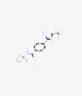 O=C(NC1(CO)CCC1)c1ccc(-c2noc(C(F)(F)F)n2)cc1